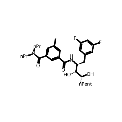 CCCCC[C@@H](O)[C@H](O)[C@H](Cc1cc(F)cc(F)c1)NC(=O)c1cc(C)cc(C(=O)N(CCC)CCC)c1